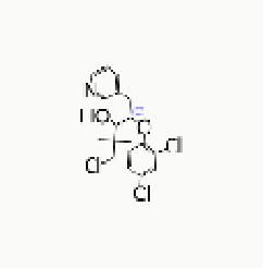 CC(C)(CCl)C(O)/C(=C\c1cccnc1)Oc1ccc(Cl)cc1Cl